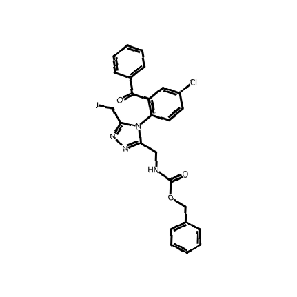 O=C(NCc1nnc(CI)n1-c1ccc(Cl)cc1C(=O)c1ccccc1)OCc1ccccc1